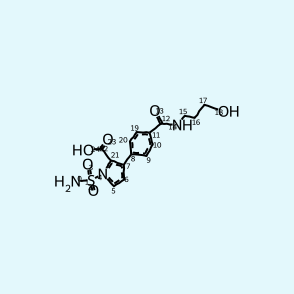 NS(=O)(=O)n1ccc(-c2ccc(C(=O)NCCCO)cc2)c1C(=O)O